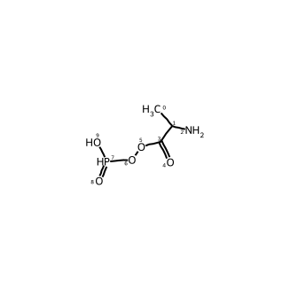 CC(N)C(=O)OO[PH](=O)O